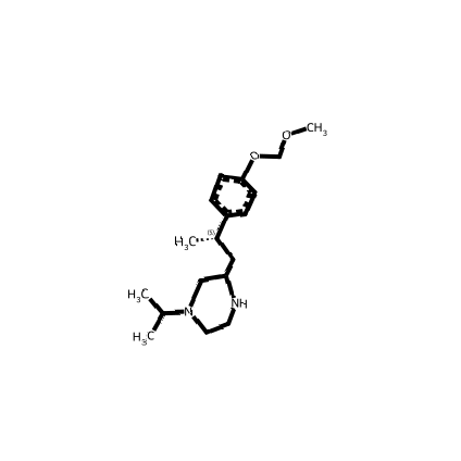 COCOc1ccc([C@@H](C)CC2CN(C(C)C)CCN2)cc1